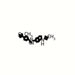 Cc1cc(-c2nc(-c3ccc4c(c3)CCC4N[C@H]3C[C@H](C)C3)no2)ccc1-c1ccoc1